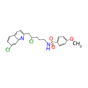 COc1ccc(S(=O)(=O)NCCCC(Cl)Cc2ccc3ccc(Cl)cc3n2)cc1